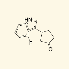 O=C1CCC(c2c[nH]c3cccc(F)c23)C1